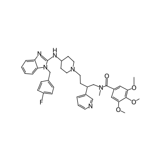 COc1cc(C(=O)N(C)CC(CCN2CCC(Nc3nc4ccccc4n3Cc3ccc(F)cc3)CC2)c2cccnc2)cc(OC)c1OC